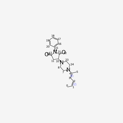 C/C=C\C=C(/C)N1CCN(C2CC(=O)N(c3ccccc3)C2=O)CC1